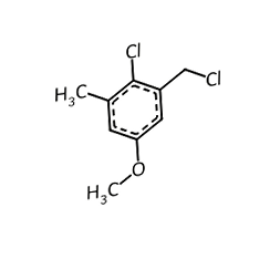 COc1cc(C)c(Cl)c(CCl)c1